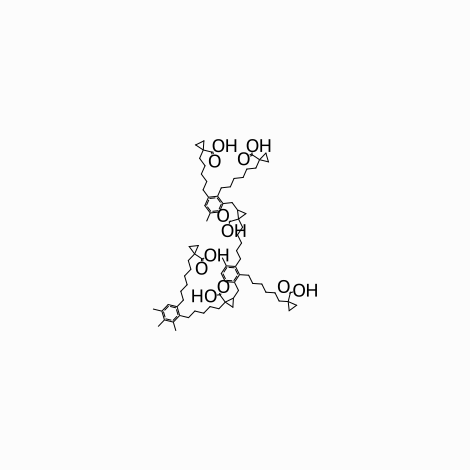 Cc1cc(CCCCCC2(C(=O)O)CC2)c(CCCCCCC2(C(=O)O)CC2)c(CC2CC2(CCCCCc2c(C)ccc(CC3CC3(CCCCCc3c(CCCCCCC4(C(=O)O)CC4)cc(C)c(C)c3C)C(=O)O)c2CCCCCCC2(C(=O)O)CC2)C(=O)O)c1